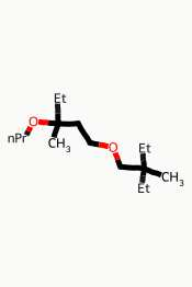 CCCOC(C)(CC)CCOCC(C)(CC)CC